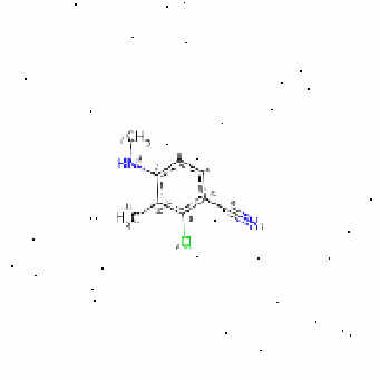 CNc1ccc(C#N)c(Cl)c1C